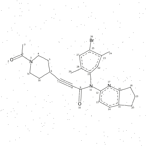 CC(=O)N1CCC(C#CC(=O)N(c2ccc3c(n2)CCC3)c2cc(C)c(Br)cc2C)CC1